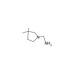 CC1(C)CCN(CN)C1